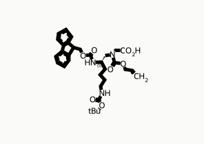 C=CCOC(=O)N(CC(=O)O)C[C@H](CCCCNC(=O)OC(C)(C)C)NC(=O)OCC1c2ccccc2-c2ccccc21